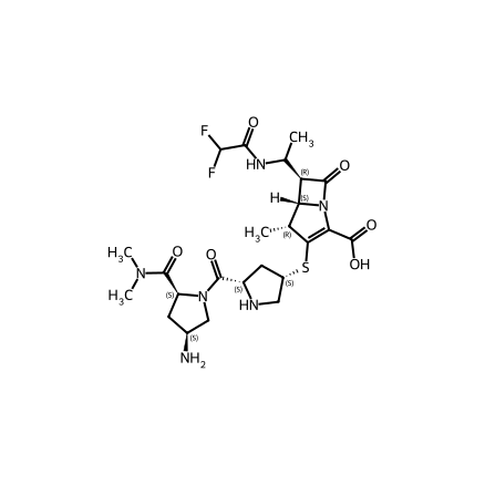 CC(NC(=O)C(F)F)[C@H]1C(=O)N2C(C(=O)O)=C(S[C@@H]3CN[C@H](C(=O)N4C[C@@H](N)C[C@H]4C(=O)N(C)C)C3)[C@H](C)[C@H]12